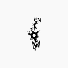 Cc1cc(-c2nnn(C)n2)cc(C)c1OCCCC#N